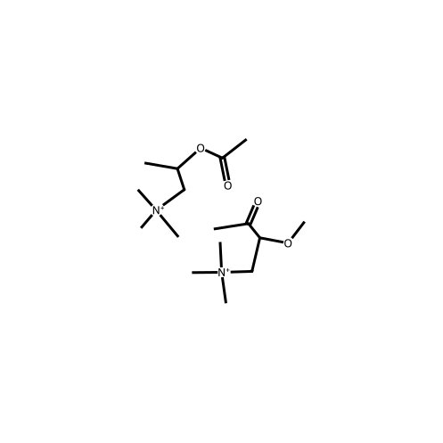 CC(=O)OC(C)C[N+](C)(C)C.COC(C[N+](C)(C)C)C(C)=O